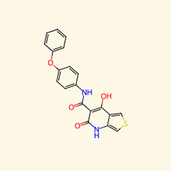 O=C(Nc1ccc(Oc2ccccc2)cc1)c1c(O)c2cscc2[nH]c1=O